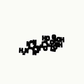 Nc1ncnc2c1ncn2[C@H]1C[C@H](O)[C@@H](C2(OP(=O)(O)O)C=CO2)O1